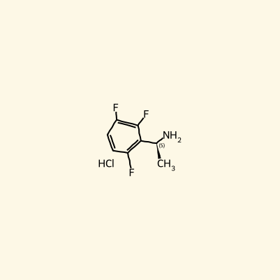 C[C@H](N)c1c(F)ccc(F)c1F.Cl